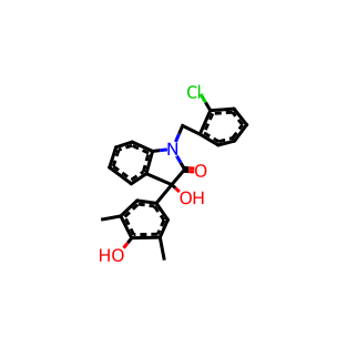 Cc1cc(C2(O)C(=O)N(Cc3ccccc3Cl)c3ccccc32)cc(C)c1O